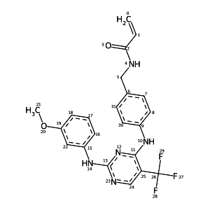 C=CC(=O)NCc1ccc(Nc2nc(Nc3cccc(OC)c3)ncc2C(F)(F)F)cc1